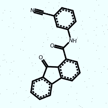 N#Cc1cccc(NC(=O)c2cccc3c2C(=O)c2ccccc2-3)c1